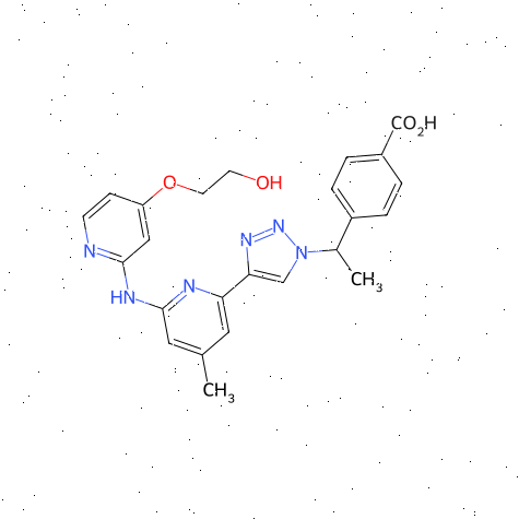 Cc1cc(Nc2cc(OCCO)ccn2)nc(-c2cn(C(C)c3ccc(C(=O)O)cc3)nn2)c1